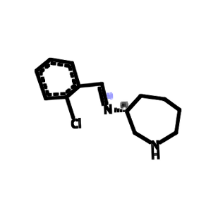 Clc1ccccc1/C=N/[C@@H]1CCCCNC1